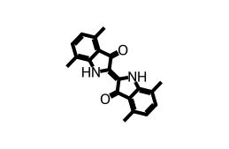 Cc1ccc(C)c2c1N/C(=C1/Nc3c(C)ccc(C)c3C1=O)C2=O